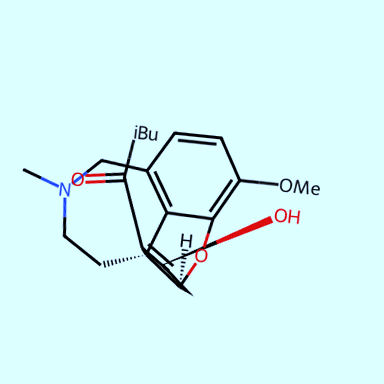 CCC(C)C(=O)C1=C[C@H](O)C[C@@H]2Oc3c(OC)ccc4c3[C@]12CCN(C)C4